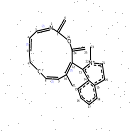 C=C1/N=C\C=C/CC/C=C\C(C)=C(\c2c3ccccc3cc[n+]2C)C(=C)O1